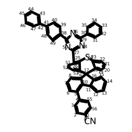 N#Cc1ccc(-c2cccc3c2-c2ccccc2C32c3ccccc3Sc3c(-c4nc(-c5ccccc5)nc(-c5ccc(-c6ccccc6)cc5)n4)cccc32)cc1